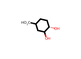 O=C(O)C1CC[C@H](O)C(O)C1